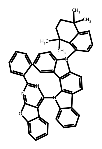 CC1(C)CCC(C)(C)c2c(-n3c4ccccc4c4c3ccc3c5ccccc5n(-c5nc(-c6ccccc6)nc6oc7ccccc7c56)c34)cccc21